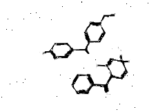 CCc1ccc(C(=O)c2ccc(N)cc2)cc1.NC1(Cl)C=CC(C(=O)c2ccccc2)C(Cl)=C1